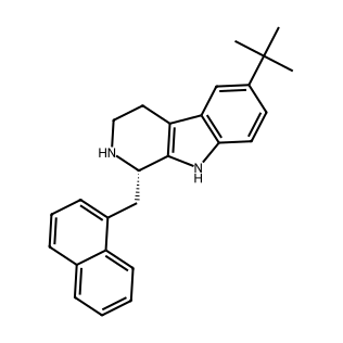 CC(C)(C)c1ccc2[nH]c3c(c2c1)CCN[C@H]3Cc1cccc2ccccc12